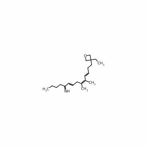 CCCCC(=N)/C=C/C/C(C)=C(C)\C=C\CCC1(CC)COC1